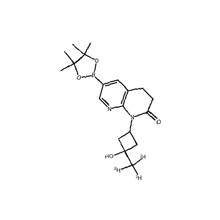 [2H]C([2H])([2H])C1(O)CC(N2C(=O)CCc3cc(B4OC(C)(C)C(C)(C)O4)cnc32)C1